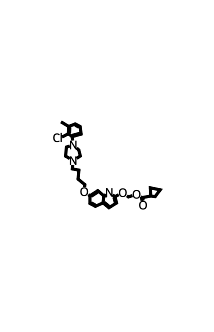 Cc1cccc(N2CCN(CCCCOc3ccc4ccc(OCOC(=O)C5CCC5)nc4c3)CC2)c1Cl